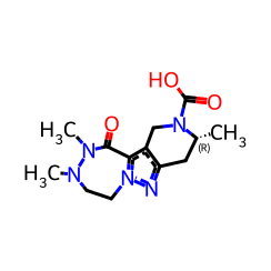 C[C@@H]1Cc2nn3c(c2CN1C(=O)O)C(=O)N(C)N(C)CC3